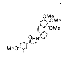 COc1ccc(C(=O)/C=C\Nc2ccccc2/C=C\c2cc(OC)c(OC)c(OC)c2)cc1C